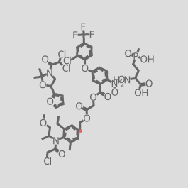 CC1(C)OC(c2ccco2)CN1C(=O)C(Cl)Cl.CCOC(=O)COC(=O)c1cc(Oc2ccc(C(F)(F)F)cc2Cl)ccc1[N+](=O)[O-].CCc1cccc(C)c1N(C(=O)CCl)C(C)COC.CP(=O)(O)CCC(N)C(=O)O